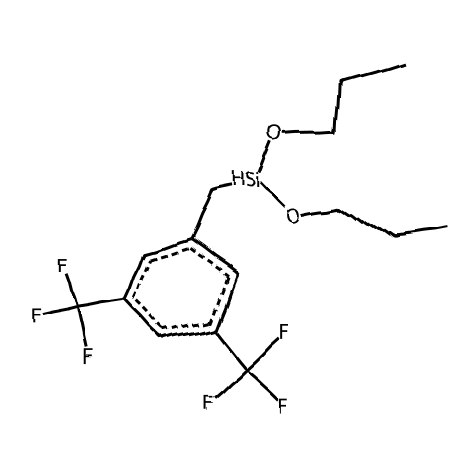 CCCO[SiH](Cc1cc(C(F)(F)F)cc(C(F)(F)F)c1)OCCC